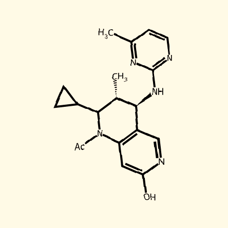 CC(=O)N1c2cc(O)ncc2[C@H](Nc2nccc(C)n2)[C@@H](C)C1C1CC1